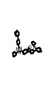 c1ccc(-c2ccc(-c3nc(-c4ccccc4)nc(-c4ccc5c(c4)oc4c5ccc5c6ccccc6n(-c6ccccc6)c54)n3)cc2)cc1